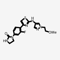 COCCn1cc(Nc2nc(-c3ccc(N4CCNC4=O)cc3F)cs2)cn1